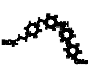 CCOC(=O)CCN1CCN(Cc2ccc(Nc3ncc(-c4ccc(OC)cc4)cn3)cc2)CC1